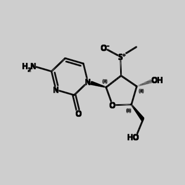 C[S+]([O-])C1[C@H](n2ccc(N)nc2=O)O[C@H](CO)[C@H]1O